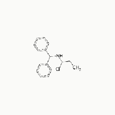 CCC(Cl)NC(c1ccccc1)c1ccccc1